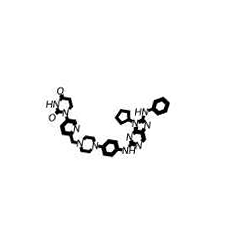 O=C1CCN(c2ccc(CN3CCN(c4ccc(Nc5ncc6nc(Nc7ccccc7)n(C7CCCC7)c6n5)cc4)CC3)nc2)C(=O)N1